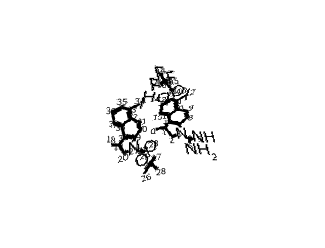 CC1CN(C(=N)N)c2ccc3c(I)cccc3c21.CC1CN(C(=O)OC(C)(C)C)c2ccc3c(I)cccc3c21.O=C(O)C(F)(F)F